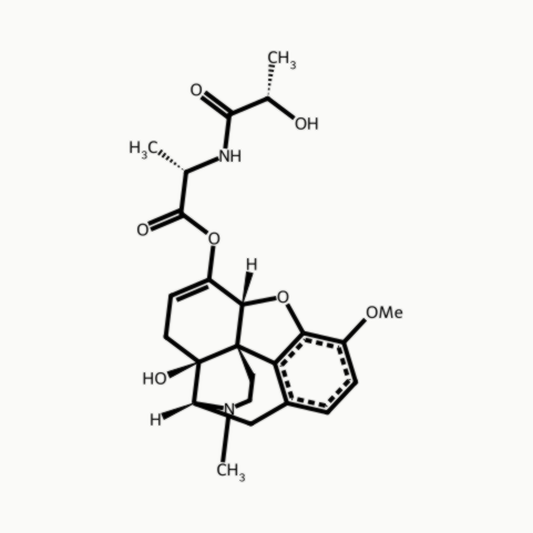 COc1ccc2c3c1O[C@H]1C(OC(=O)[C@H](C)NC(=O)[C@H](C)O)=CC[C@@]4(O)[C@@H](C2)N(C)CC[C@]314